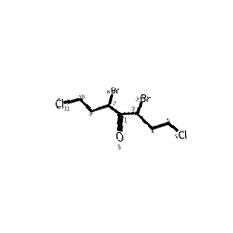 O=C(C(Br)CCCl)C(Br)CCCl